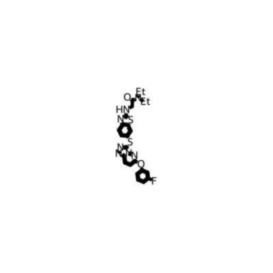 CCN(CC)C(=O)CNc1nc2ccc(Sc3nnc4ccc(Oc5cccc(F)c5)nn34)cc2s1